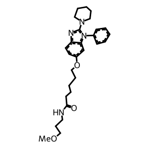 COCCCNC(=O)CCCCCOc1ccc2nc(N3CCCCC3)n(-c3ccccc3)c2c1